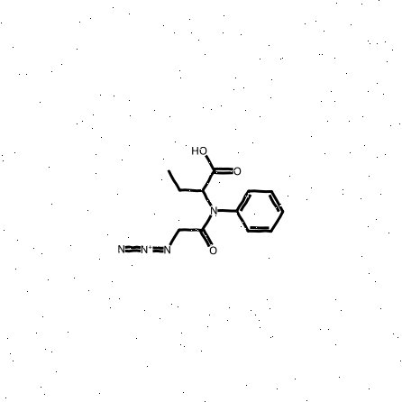 CCC(C(=O)O)N(C(=O)CN=[N+]=[N-])c1ccccc1